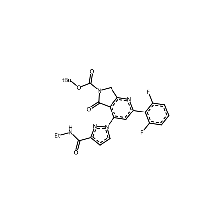 CCNC(=O)c1ccn(-c2cc(-c3c(F)cccc3F)nc3c2C(=O)N(C(=O)OC(C)(C)C)C3)n1